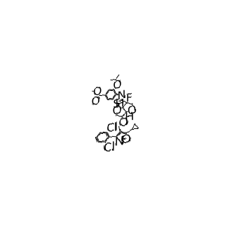 COC(=O)c1cc(OC(C)C)c2nc([C@]3(F)CO[C@@H]4[C@@H](OCc5c(-c6c(Cl)cccc6Cl)noc5C5CC5)CO[C@@H]43)sc2c1